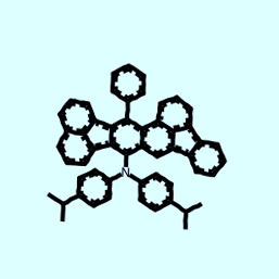 CC(C)c1ccc(N(c2ccc(C(C)C)cc2)c2c3cc4c5ccccc5c5cccc(c3c(-c3ccccc3)c3c6cccc7cccc(c23)c76)c54)cc1